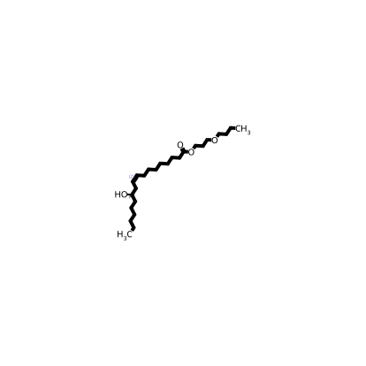 CCCCCC[C@@H](O)C/C=C\CCCCCCCC(=O)OCCCOCCCC